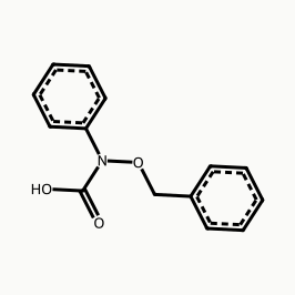 O=C(O)N(OCc1ccccc1)c1ccccc1